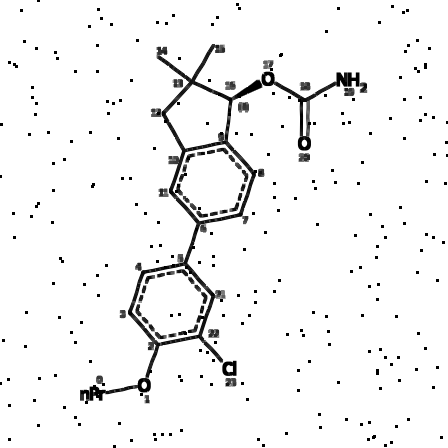 CCCOc1ccc(-c2ccc3c(c2)CC(C)(C)[C@H]3OC(N)=O)cc1Cl